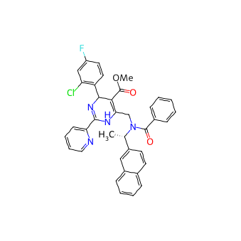 COC(=O)C1=C(CN(C(=O)c2ccccc2)[C@@H](C)c2ccc3ccccc3c2)NC(c2ccccn2)=NC1c1ccc(F)cc1Cl